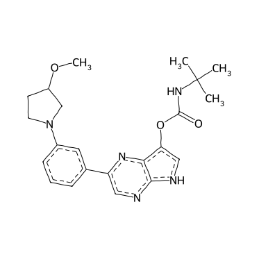 COC1CCN(c2cccc(-c3cnc4[nH]cc(OC(=O)NC(C)(C)C)c4n3)c2)C1